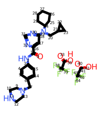 O=C(Nc1ccc(CN2CCNCC2)cc1)c1cc(N(CC2CC2)C2CCCCC2)ncn1.O=C(O)C(F)(F)F.O=C(O)C(F)(F)F